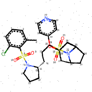 Cc1cccc(Cl)c1S(=O)(=O)N1CCC[C@H]1CCCS(=O)(=O)N1C2CCC1CC(Oc1ccncc1)C2